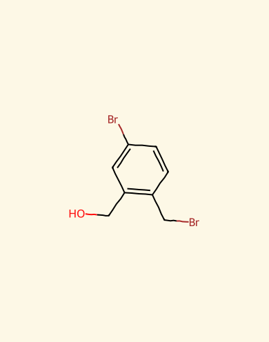 OCc1cc(Br)ccc1CBr